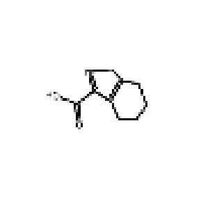 O=C(O)C1=NCC2=C1CCCC2